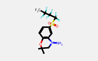 CC1(C)CN(N)c2cc(S(=O)(=O)C(F)(F)C(F)(F)C(F)(F)C(F)(F)F)ccc2O1